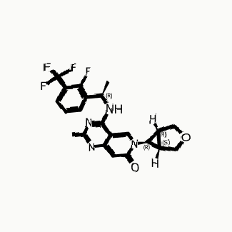 Cc1nc(N[C@H](C)c2cccc(C(F)(F)F)c2F)c2cn([C@H]3[C@@H]4COC[C@@H]43)c(=O)cc2n1